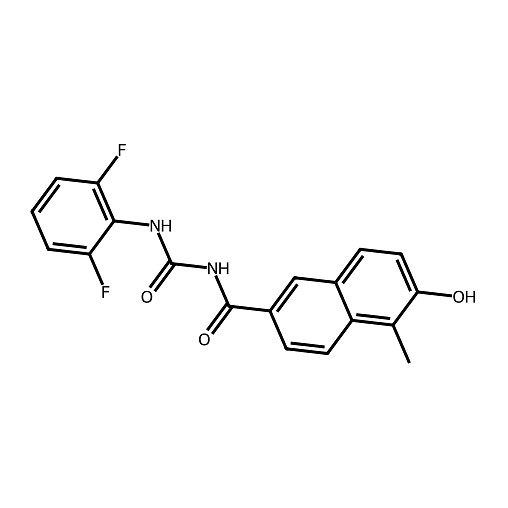 Cc1c(O)ccc2cc(C(=O)NC(=O)Nc3c(F)cccc3F)ccc12